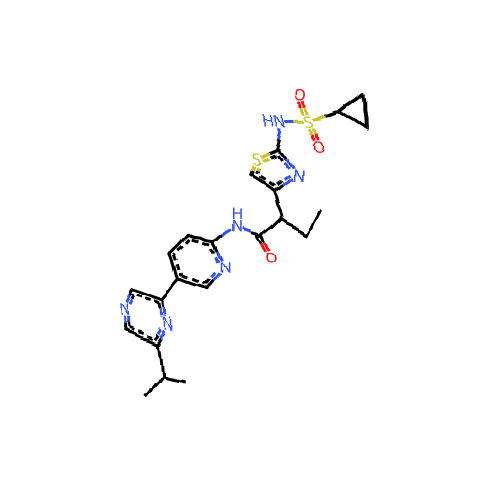 CCC(C(=O)Nc1ccc(-c2cncc(C(C)C)n2)cn1)c1csc(NS(=O)(=O)C2CC2)n1